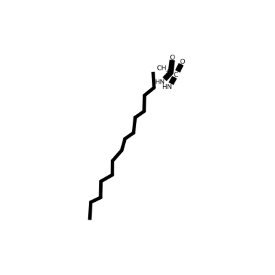 C.CCCCCCCCCCCCCC.N=C=O.N=C=O